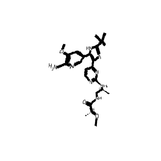 COc1cc(-c2[nH]c(C(C)(C)C)nc2-c2ccnc(N[C@@H](C)CNC(=O)[C@@H](C)OC)n2)cnc1N